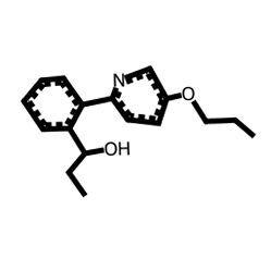 CCCOc1ccc(-c2ccccc2C(O)CC)nc1